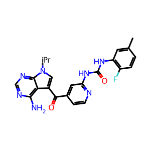 Cc1ccc(F)c(NC(=O)Nc2cc(C(=O)c3cn(C(C)C)c4ncnc(N)c34)ccn2)c1